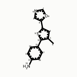 Cc1cc(-c2cnco2)sc1-c1ccc(N)cc1